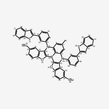 Cc1cc2c3c(c1)N(c1cccc(-c4cc5ccccc5s4)c1)c1c(oc4ccc(C(C)(C)C)cc14)B3c1oc3ccc(C(C)(C)C)cc3c1N2c1cccc(-c2cc3ccccc3s2)c1